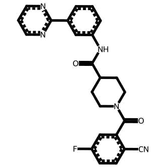 N#Cc1ccc(F)cc1C(=O)N1CCC(C(=O)Nc2cccc(-c3ncccn3)c2)CC1